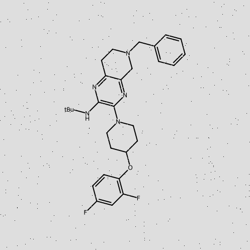 CC(C)(C)Nc1nc2c(nc1N1CCC(Oc3ccc(F)cc3F)CC1)CN(Cc1ccccc1)CC2